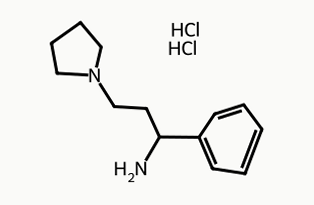 Cl.Cl.NC(CCN1CCCC1)c1ccccc1